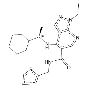 CCn1ncc2c(N[C@H](C)C3CCCCC3)c(C(=O)NCc3cccs3)cnc21